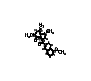 COc1cccc2c1CCN(C(=O)c1cn(C)c3c(C)cn(C)c(=O)c13)C2